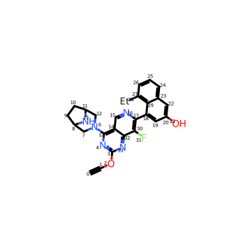 C#COc1nc(N2CC3CCC(C2)N3)c2cnc(-c3cc(O)cc4cccc(CC)c34)c(F)c2n1